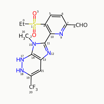 CCS(=O)(=O)c1ccc(C=O)nc1-c1nc2c(n1C)NNC(C(F)(F)F)=C2